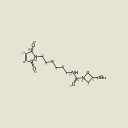 CC(C)(C)C1CN(C(=O)NCCCCCCN2C(=O)C=CC2=O)C1